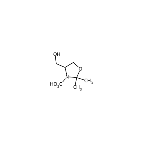 CC1(C)OCC(CO)N1C(=O)O